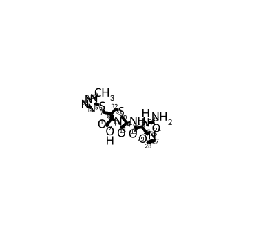 Cn1nnnc1SCC1=C(C(=O)O)N2C(=O)[C@H](NC(=O)C(NC(N)=O)c3ncco3)C2SC1